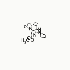 COC(=O)c1cc(N2CCCC3(CC3)C2)c2c(C3CCC3)nn(-c3ccccc3)c2n1